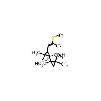 CC(C)S/C(C#N)=C/C1C(C)(C)[C@]1(C(=O)O)C1(C(=O)O)CC1(C)C